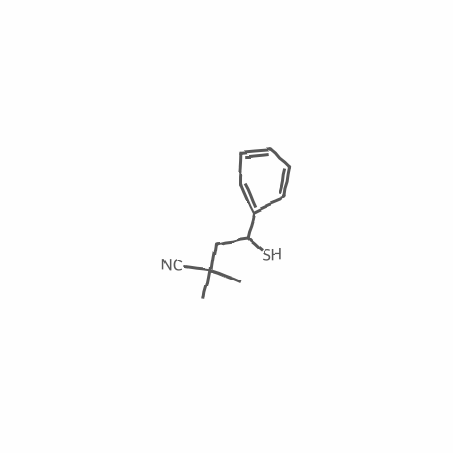 CC(C)(C#N)CC(S)c1ccccc1